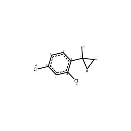 CC1(c2ccc(Cl)cc2Cl)CC1